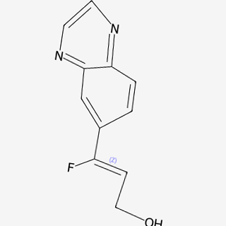 OC/C=C(\F)c1ccc2nccnc2c1